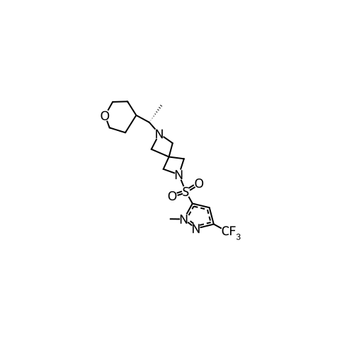 C[C@@H](C1CCOCC1)N1CC2(C1)CN(S(=O)(=O)c1cc(C(F)(F)F)nn1C)C2